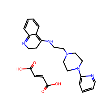 O=C(O)C=CC(=O)O.c1ccc(N2CCN(CCNC3=c4ccccc4=NCC3)CC2)nc1